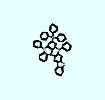 c1ccc(N2c3ccccc3B3c4cc5c(cc4N(c4ccccc4)c4cc([Si](c6ccccc6)(c6ccccc6)c6ccccc6)cc2c43)oc2ccccc25)cc1